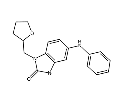 O=C1[N]c2cc(Nc3ccccc3)ccc2N1CC1CCCO1